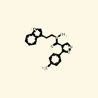 Cc1ccc(-c2oncc2C(=O)N(C)CCc2c[nH]c3ccccc23)cc1